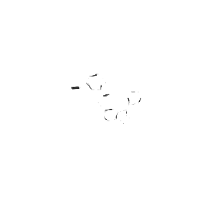 N#Cc1ccnc(C(=O)Nc2ccc3[nH]nc(-c4ccncc4)c3c2)c1